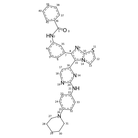 O=C(Nc1cccc(-c2nc3sccn3c2-c2ccnc(Nc3ccc(N4CCCCC4)cc3)n2)c1)c1ccccc1